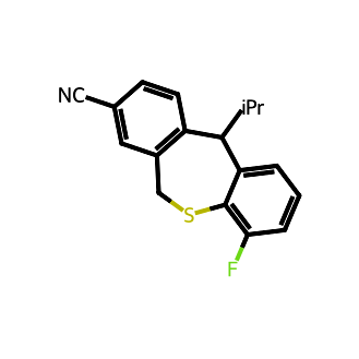 CC(C)C1c2ccc(C#N)cc2CSc2c(F)cccc21